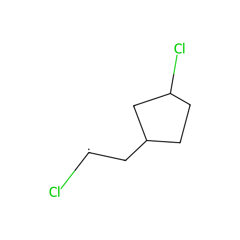 Cl[CH]CC1CCC(Cl)C1